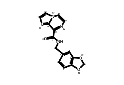 O=C(NCc1ccc2c(c1)OCO2)c1nccn2ccnc12